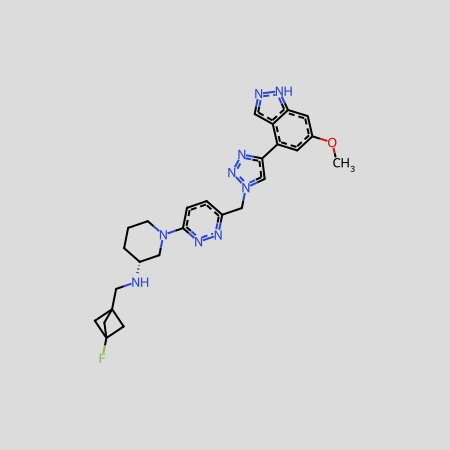 COc1cc(-c2cn(Cc3ccc(N4CCC[C@@H](NCC56CC(F)(C5)C6)C4)nn3)nn2)c2cn[nH]c2c1